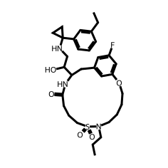 CCCN1CCCCOc2cc(F)cc(c2)CC(C(O)CNC2(c3cccc(CC)c3)CC2)NC(=O)CCCS1(=O)=O